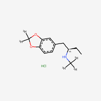 Cl.[2H]C([2H])([2H])N[C@H](CC)Cc1ccc2c(c1)OC([2H])([2H])O2